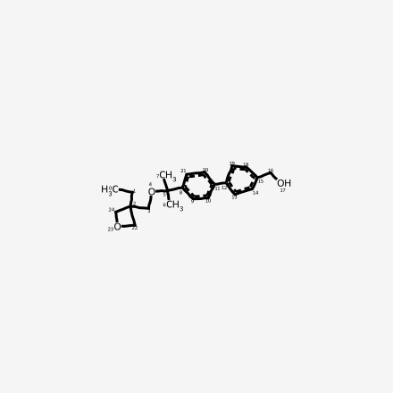 CCC1(COC(C)(C)c2ccc(-c3ccc(CO)cc3)cc2)COC1